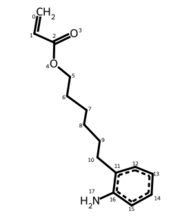 C=CC(=O)OCCCCCCc1ccccc1N